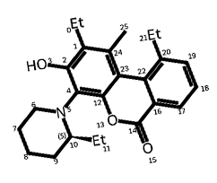 CCc1c(O)c(N2CCCC[C@@H]2CC)c2oc(=O)c3cccc(CC)c3c2c1C